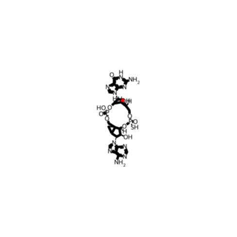 Nc1nc2c(ncn2[C@@H]2S[C@@H]3CO[P@](=O)(S)O[C@H]4[C@@H](O)[C@H](n5cnc6c(N)ncnc65)C5C[C@]54COP(=O)(O)O[C@@H]2[C@@H]3O)c(=O)[nH]1